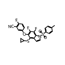 Cc1ccc(S(=O)(=O)n2ccc3c(SC4CC4)c(Oc4ccc(F)c(C#N)c4)c(F)c(F)c32)cc1